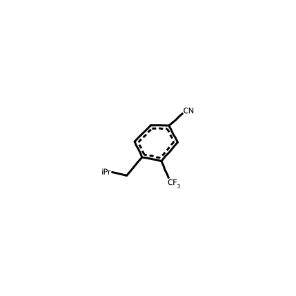 CC(C)Cc1ccc(C#N)cc1C(F)(F)F